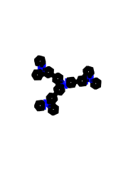 c1ccc(-n2c3ccccc3c3cc(-c4ccc(-n5c6ccc(-c7ccc8c(c7)c7ccccc7n8-c7ccccc7)cc6c6cc(-c7ccc8c(c7)c7ccccc7n8-c7ccccc7)ccc65)cc4)ccc32)cc1